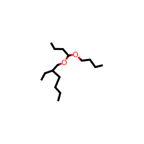 CCCCOC(CCC)OCC(CC)CCCC